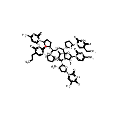 CCCc1cn([C@H]2CC[C@@H](C(O)[C](OC(O)[C@@H]3CC[C@H](n4ccc(N)nc4=O)O3)[C@@]3(C(O)[C@@H]4CC[C@H](n5cc(CC)c(=O)[nH]c5=O)O4)O[C@@H](n4ccc(N)nc4=O)[C@H](F)[C@@H]3C(O)[C@H]3O[C@@H](n4cc(C)c(=O)[nH]c4=O)C[C@@H]3N)O2)c(=O)[nH]c1=O